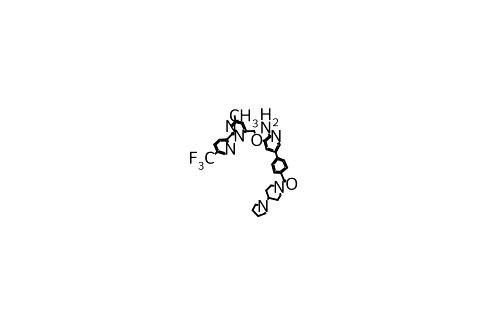 Cc1cc(COc2cc(-c3ccc(C(=O)N4CCC(N5CCCC5)CC4)cc3)cnc2N)nc(-c2ccc(C(F)(F)F)cn2)n1